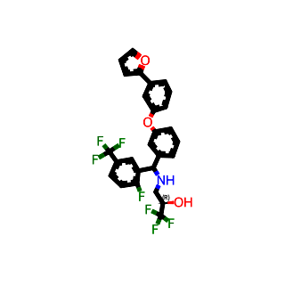 O[C@H](CNC(c1cccc(Oc2cccc(-c3ccco3)c2)c1)c1cc(C(F)(F)F)ccc1F)C(F)(F)F